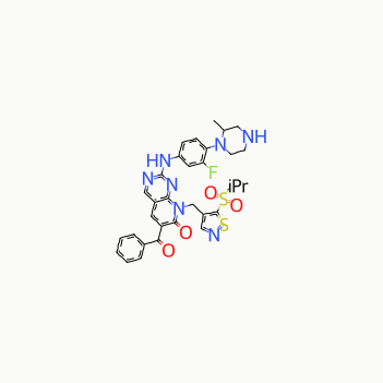 CC1CNCCN1c1ccc(Nc2ncc3cc(C(=O)c4ccccc4)c(=O)n(Cc4cnsc4S(=O)(=O)C(C)C)c3n2)cc1F